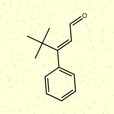 CC(C)(C)C(=CC=O)c1ccccc1